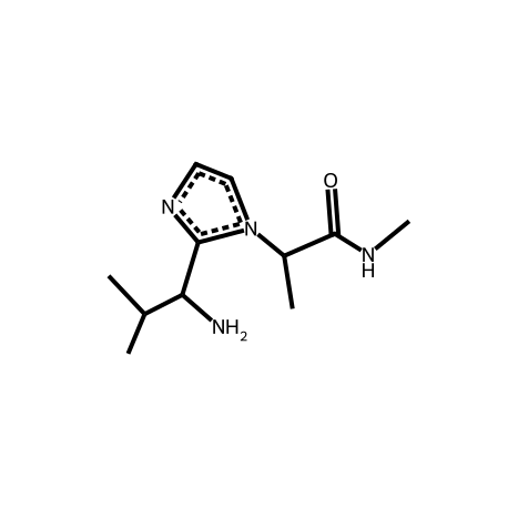 CNC(=O)C(C)n1ccnc1C(N)C(C)C